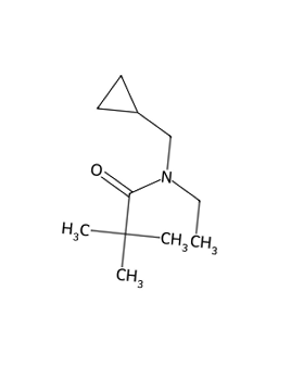 CCN(CC1CC1)C(=O)C(C)(C)C